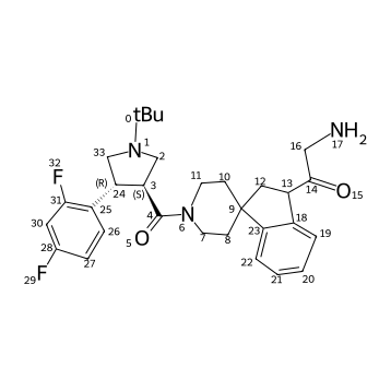 CC(C)(C)N1C[C@@H](C(=O)N2CCC3(CC2)CC(C(=O)CN)c2ccccc23)[C@H](c2ccc(F)cc2F)C1